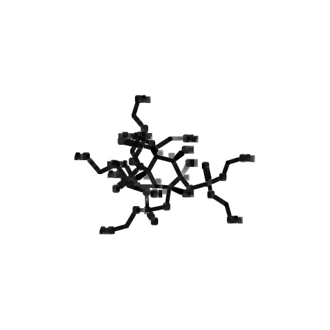 CCCCCO[C@H]1[C@@H](O)[C@@](O)(OP(=O)(OCOC(C)=O)OCOC(C)=O)[C@](O)(OP(=O)(OCOC(C)=O)OCOC(C)=O)[C@@](O)(OP(=O)(OCOC(C)=O)OCOC(C)=O)[C@]1(OCCCCC)OP(=O)(OCOC(C)=O)OCOC(C)=O